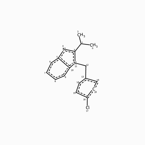 CC(C)c1nc2ccccc2n1Cc1ccc(Cl)cc1